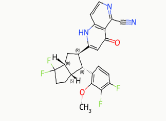 COc1c([C@@H]2[C@@H]3CCC(F)(F)[C@@H]3C[C@H]2c2cc(=O)c3c(C#N)nccc3[nH]2)ccc(F)c1F